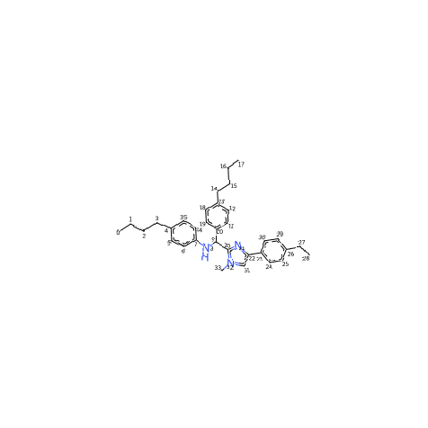 CCCCc1ccc(NC(c2ccc(CCCC)cc2)c2nc(-c3ccc(CC)cc3)cn2C)cc1